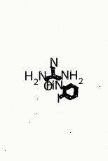 N#C/C(C(N)=O)=C(\N)Nc1ccccc1I